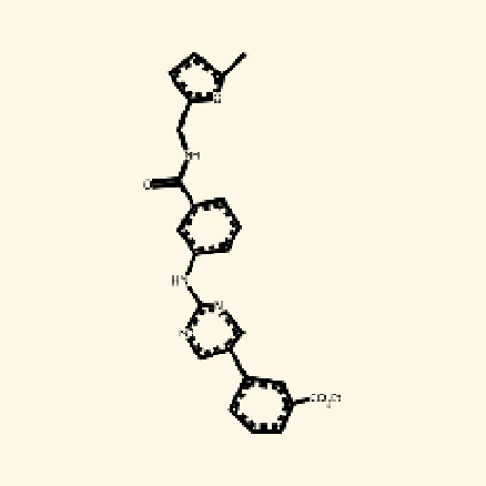 CCOC(=O)c1cccc(-c2cnc(Nc3cccc(C(=O)NCc4ccc(C)o4)c3)nc2)c1